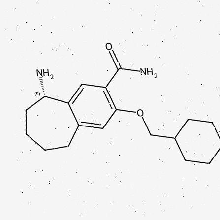 NC(=O)c1cc2c(cc1OCC1CCCCC1)CCCC[C@@H]2N